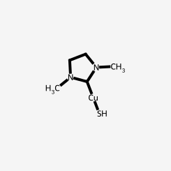 CN1CCN(C)[CH]1[Cu][SH]